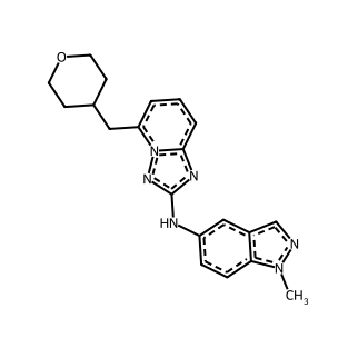 Cn1ncc2cc(Nc3nc4cccc(CC5CCOCC5)n4n3)ccc21